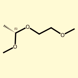 COCCO[C@@H](C)OC